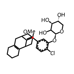 CO/C(=C1\C2CCCC1C1=C(CCCC1)C2)c1ccc(Cl)c(O[C@@H]2OC[C@@H](O)[C@H](O)C2O)c1